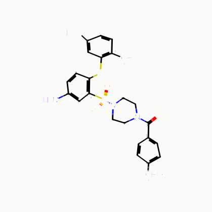 Cc1ccc(C)c(Sc2ccc(N)cc2S(=O)(=O)N2CCN(C(=O)c3ccc(C=O)cc3)CC2)c1